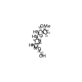 COCC(NC(=O)Nc1cc2[nH]nc(OCCO)c2cn1)c1ccccc1